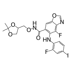 CC1(C)OCC(CONC(=O)c2cc3ocnc3c(F)c2Nc2ccc(I)cc2F)O1